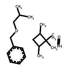 CC(C)COCc1ccccc1.CC1CC(C)C1(C)C.O=P